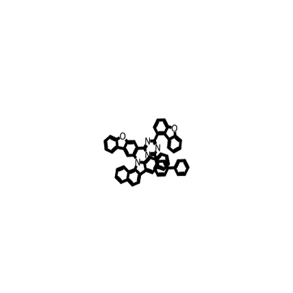 c1ccc(-c2cccc(-c3nc(-c4cc5oc6ccccc6c5cc4-n4c5cc6ccccc6cc5c5ccc6ccccc6c54)nc(-c4cccc5oc6ccccc6c45)n3)c2)cc1